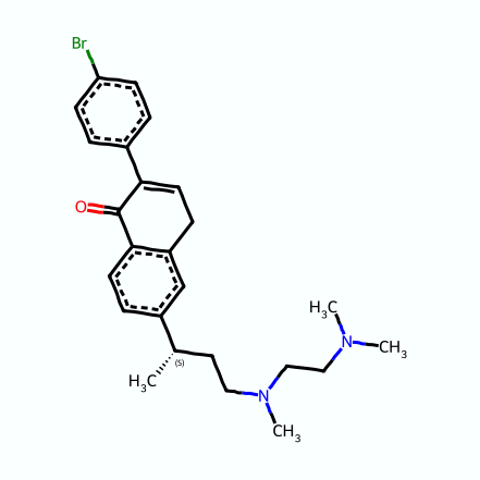 C[C@@H](CCN(C)CCN(C)C)c1ccc2c(c1)CC=C(c1ccc(Br)cc1)C2=O